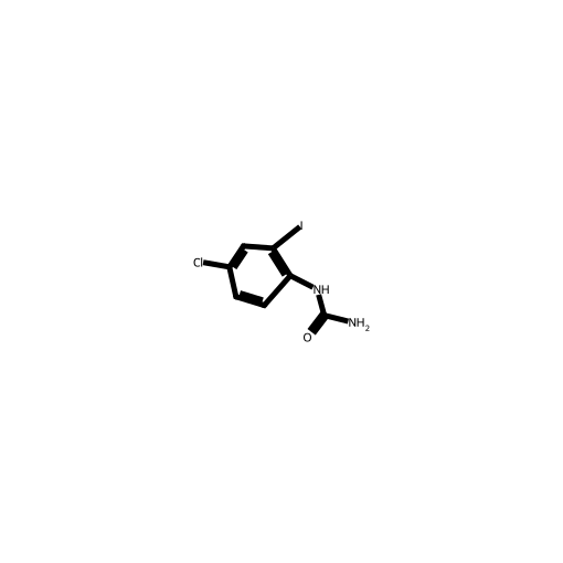 NC(=O)Nc1ccc(Cl)cc1I